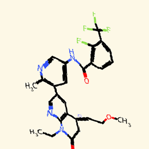 CCN1C(=O)C/C(=C\COC)c2cc(-c3cc(NC(=O)c4cccc(C(F)(F)F)c4F)cnc3C)cnc21